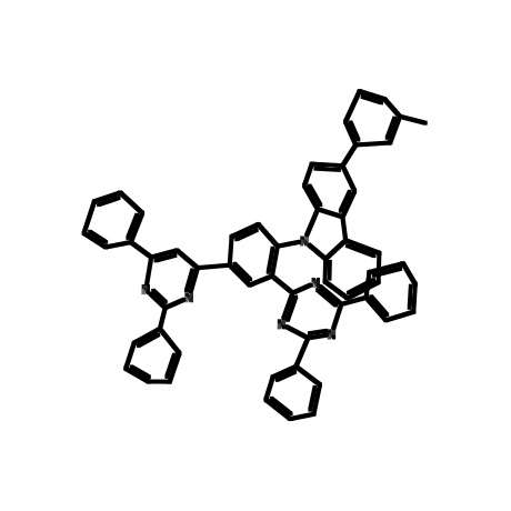 Cc1cccc(-c2ccc3c(c2)c2ccccc2n3-c2ccc(-c3cc(-c4ccccc4)nc(-c4ccccc4)n3)cc2-c2nc(-c3ccccc3)nc(-c3ccccc3)n2)c1